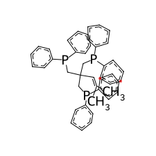 CC(C)=CC(CP(c1ccccc1)c1ccccc1)(CP(c1ccccc1)c1ccccc1)CP(c1ccccc1)c1ccccc1